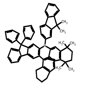 CC1(C)CCC(C)(C)c2cc(N(c3ccc4c(c3)C(C)(C)c3ccccc3-4)c3cc4c(cc3-c3cccc5c3CCCC5)-c3ccccc3C4(c3ccccc3)c3ccccc3)ccc21